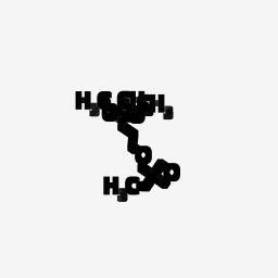 CCC1(COCCC[Si](C)(OC)OC)COC1